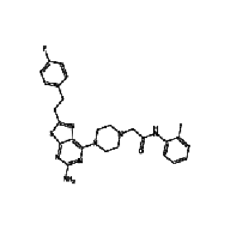 Cc1ccccc1NC(=O)CN1CCN(c2nc(N)nc3sc(CCc4ccc(F)cc4)nc23)CC1